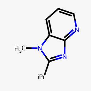 CC(C)c1nc2ncccc2n1C